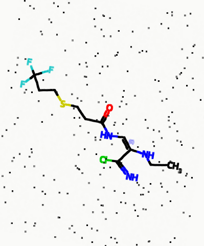 CCN/C(=C/NC(=O)CCSCCC(F)(F)F)C(=N)Cl